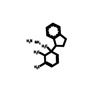 CC1=CC=CC(C)(C2CCc3ccccc32)C1C.N.N